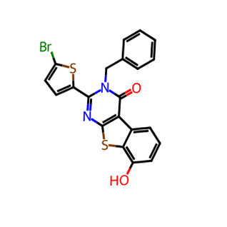 O=c1c2c(nc(-c3ccc(Br)s3)n1Cc1ccccc1)sc1c(O)cccc12